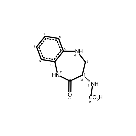 O=C(O)N[C@H]1CNc2ccccc2NC1=O